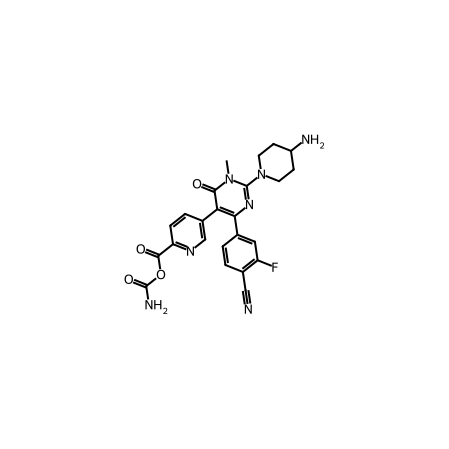 Cn1c(N2CCC(N)CC2)nc(-c2ccc(C#N)c(F)c2)c(-c2ccc(C(=O)OC(N)=O)nc2)c1=O